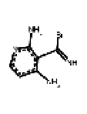 N=C(Br)c1c(N)ccnc1N